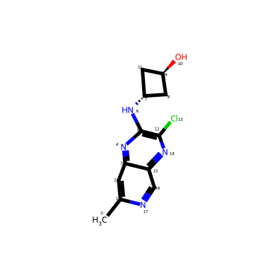 Cc1cc2nc(N[C@H]3C[C@H](O)C3)c(Cl)nc2cn1